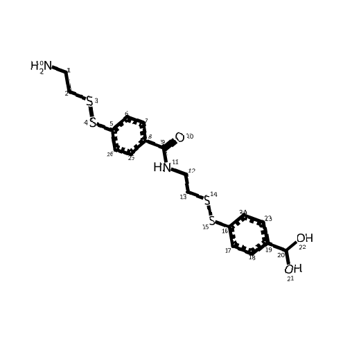 NCCSSc1ccc(C(=O)NCCSSc2ccc(C(O)O)cc2)cc1